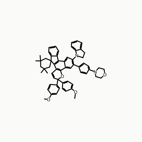 COc1ccc(C2(c3ccc(OC)cc3)C=Cc3c4c(c5cc(N6CCc7ccccc76)c(-c6ccc(N7CCOCC7)cc6)cc5c3O2)-c2ccccc2C42CC(C)(C)CC(C)(C)C2)cc1